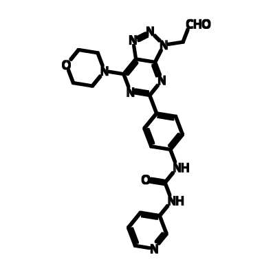 O=CCn1nnc2c(N3CCOCC3)nc(-c3ccc(NC(=O)Nc4cccnc4)cc3)nc21